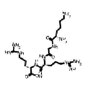 N=C(N)NCCC[C@H](NC(=O)[C@H](CCCNC(=N)N)NC(=O)CNC(=O)[C@@H](N)CCCCN)C(=O)O